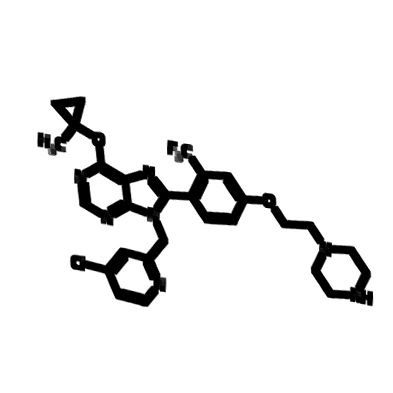 CC1(Oc2ncnc3c2nc(-c2ccc(OCCN4CCNCC4)cc2C(F)(F)F)n3Cc2cc(Cl)ccn2)CC1